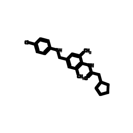 Cc1cc(CNc2ccc(Cl)cc2)cc(C)c1NC(=O)CC1CCCC1